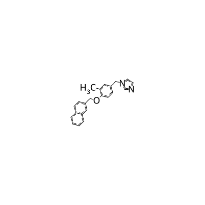 Cc1cc(Cn2ccnc2)ccc1OCc1ccc2ccccc2c1